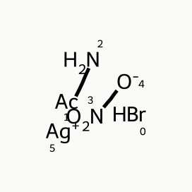 Br.CC(N)=O.O=[N+]([O-])[O-].[Ag+]